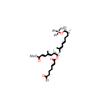 CCC(=O)CCC/C=C/C(=O)O[C@@H](C/C(C)=C/C=C/CC[C@@H](C)[C@@H](CC)O[Si](C(C)C)(C(C)C)C(C)C)[C@@H](C)/C=C(C)/C=C/C(=O)OC